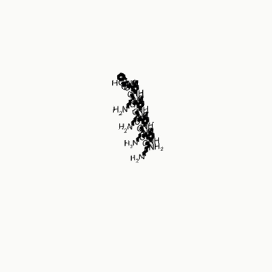 COc1ccc(NC(=O)[C@H](CCCCN)NC(=O)c2cc(NC(=O)[C@H](CCCCN)NC(=O)c3cc(NC(=O)[C@H](CCCCN)NC(=O)c4cc(NC(=O)[C@@H](N)CCCCN)ccc4OC)ccc3OC)ccc2OC)cc1C(=O)N[C@@H](Cc1ccccc1)C(=O)O